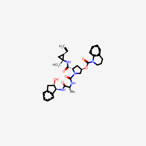 C=C[C@@H]1C[C@]1(NC(=O)[C@@H]1C[C@@H](OC(=O)N2CCCc3ccccc32)CN1C(=O)N[C@H](C(=O)N[C@H]1c2ccccc2C[C@H]1O)C(C)(C)C)C(=O)O